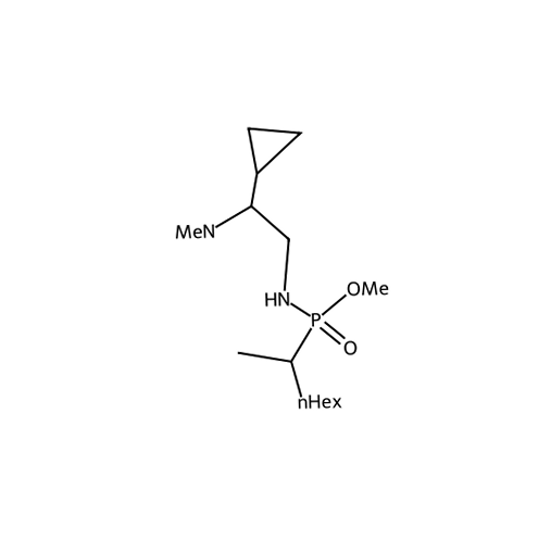 CCCCCCC(C)P(=O)(NCC(NC)C1CC1)OC